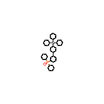 O=P(c1ccccc1)(c1ccccc1)c1cccc(-c2ccc([Si](c3ccccc3)(c3ccccc3)c3ccccc3)cc2)c1